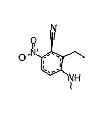 CCc1c(NC)ccc([N+](=O)[O-])c1C#N